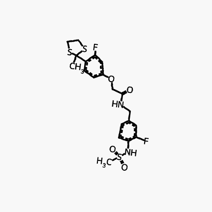 CC1(c2ccc(OCC(=O)NCc3ccc(NS(C)(=O)=O)c(F)c3)cc2F)SCCS1